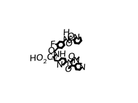 Cn1c(=O)n(-c2ccc(C[C@H](NC(=O)c3ccc(NS(=O)(=O)c4ccccn4)cc3F)C(=O)O)nc2)c(=O)c2ccncc21